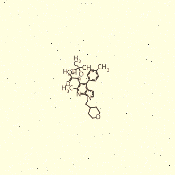 Cc1ccc(-c2c([C@H](OC(C)(C)C)C(=O)O)c(C)nc3c2ccn3CC2CCOCC2)cc1